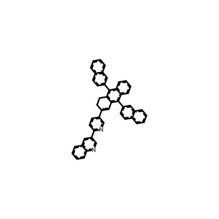 C1=C(c2ccc(-c3cnc4ccccc4c3)nc2)CCc2c1c(-c1ccc3ccccc3c1)c1ccccc1c2-c1ccc2ccccc2c1